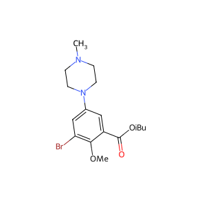 COc1c(Br)cc(N2CCN(C)CC2)cc1C(=O)OCC(C)C